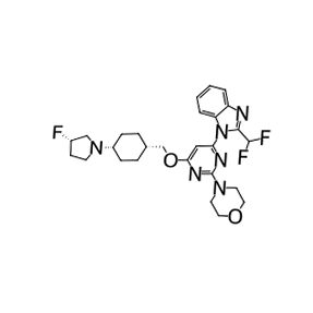 FC(F)c1nc2ccccc2n1-c1cc(OC[C@H]2CC[C@@H](N3CC[C@H](F)C3)CC2)nc(N2CCOCC2)n1